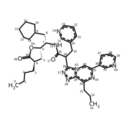 CCCC[C@@H]1C[C@@H]([C@H](CC2CCCCC2)NC(=O)C(Cc2cccnc2)c2nnc3c(CCC)nc(-c4cccnc4)cn23)OC1=O